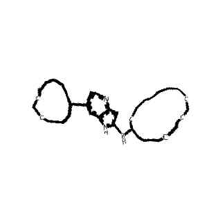 B(c1cc2ncc(C3CCCCCCCCCCC3)cc2[nH]1)C1CCCCCCCCCCCCCC1